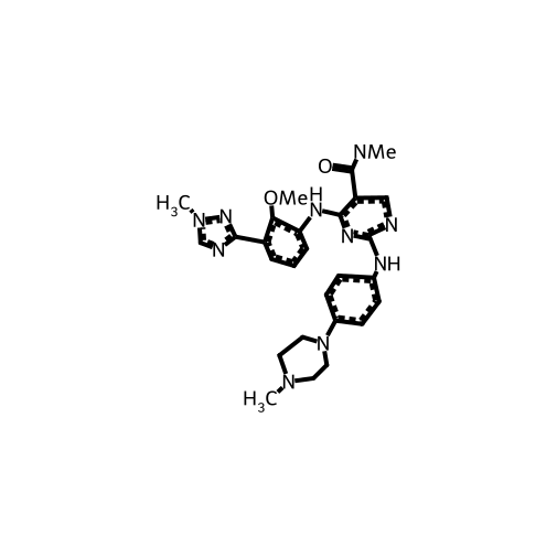 CNC(=O)c1cnc(Nc2ccc(N3CCN(C)CC3)cc2)nc1Nc1cccc(-c2ncn(C)n2)c1OC